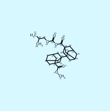 COC(=O)C12CC3CC(C1)CC(C14CC5CC(CC(C(=O)OC(=O)OCC(C)C)(C5)C1)C4)(C3)C2